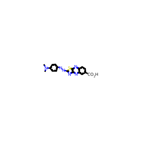 CN(C)c1ccc(/N=N/c2nc3nc4cc(C(=O)O)ccc4nc3s2)cc1